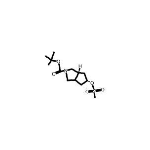 CC(C)(C)OC(=O)N1CC2C[C@@H](OS(C)(=O)=O)C[C@H]2C1